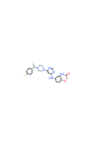 CC(c1ccc(F)cc1)N1CCN(c2cc(Nc3ccc4c(c3)NC(=O)CO4)ncn2)CC1